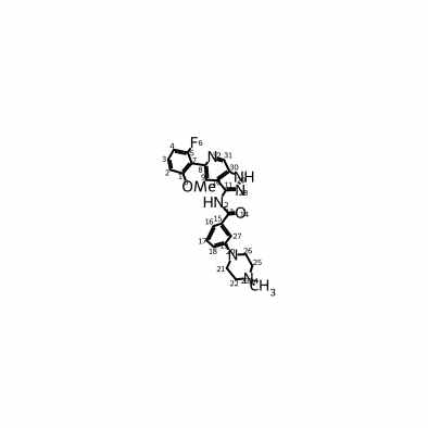 COc1cccc(F)c1-c1cc2c(NC(=O)c3cccc(N4CCN(C)CC4)c3)n[nH]c2cn1